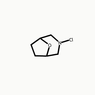 ClN1CC2CCC(C1)O2